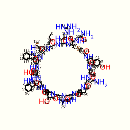 CCCC[C@H]1C(=O)N[C@@H](CCCNC(=N)N)C(=O)NC(C(=O)NCC(N)=O)CSCC(=O)N[C@@H](Cc2ccc(O)cc2)C(=O)N(C)[C@@H](C)C(=O)N[C@@H](CC(N)=O)C(=O)N2CCC[C@H]2C(=O)N[C@@H](CN)C(=O)N[C@@H](CC(C)C)C(=O)N2C[C@H](O)C[C@H]2C(=O)N[C@@H](Cc2c[nH]c3ccccc23)C(=O)N[C@@H](CO)C(=O)N[C@@H](Cc2c[nH]c3ccccc23)C(=O)N(C)[C@@H](CCSC)C(=O)N1C